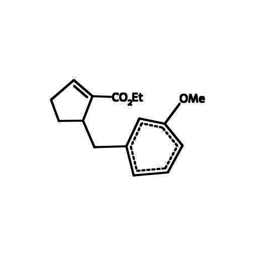 CCOC(=O)C1=CCCC1Cc1cccc(OC)c1